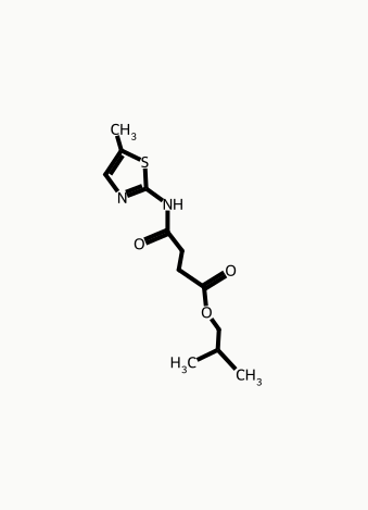 Cc1cnc(NC(=O)CCC(=O)OCC(C)C)s1